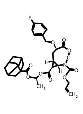 C=CCOC(=O)N1COC(=O)[C@H](OCc2ccc(F)cc2)C[C@H]2[C@H](C(=O)O[C@@H](C)OC(=O)C34CC5CC(CC(C5)C3)C4)[C@H]21